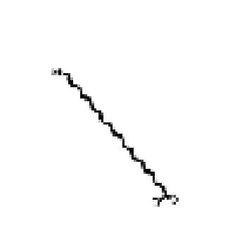 CC/C=C/C/C=C/C/C=C/C/C=C/C/C=C/C/C=C/CCC(=O)Cl